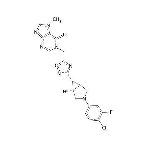 Cn1cnc2ncn(Cc3nc([C@@H]4C5CN(c6ccc(Cl)c(F)c6)C[C@H]54)no3)c(=O)c21